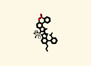 CCCc1ccc2c(c1-c1ccccc1C(C)C)C=C(CC)[CH]2[Zr]([Cl])([Cl])([CH]1C(CC)=Cc2c1ccc(CCC)c2-c1ccccc1C(C)C)[SiH](C)C